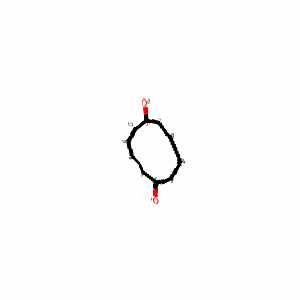 O=C1CCCCC(=O)CCCC1